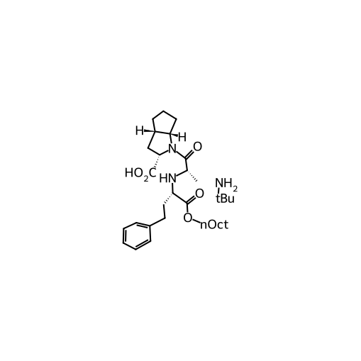 CC(C)(C)N.CCCCCCCCOC(=O)[C@H](CCc1ccccc1)N[C@@H](C)C(=O)N1[C@H](C(=O)O)C[C@@H]2CCC[C@@H]21